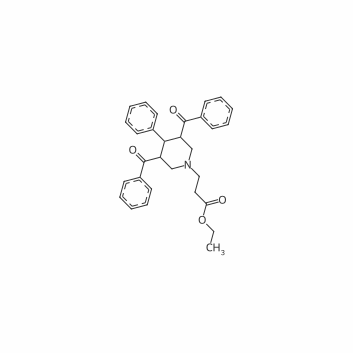 CCOC(=O)CCN1CC(C(=O)c2ccccc2)C(c2ccccc2)C(C(=O)c2ccccc2)C1